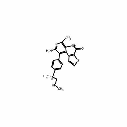 CNC[C@H](C)c1ccc(-c2c(N)nc(C)c3[nH]c(=O)c4sccc4c23)cc1